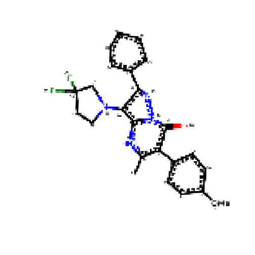 COc1ccc(-c2c(C)[nH]c3c(N4CCC(F)(F)C4)c(-c4ccccc4)nn3c2=O)cc1